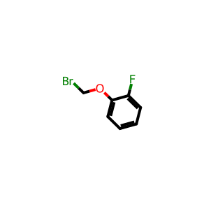 Fc1ccccc1OCBr